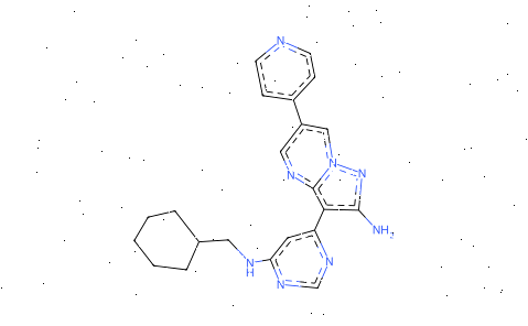 Nc1nn2cc(-c3ccncc3)cnc2c1-c1cc(NCC2CCCCC2)ncn1